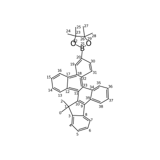 CC1(C)c2ccccc2-c2c1c1c3ccccc3c3cc(B4OC(C)(C)C(C)(C)O4)ccc3c1c1ccccc21